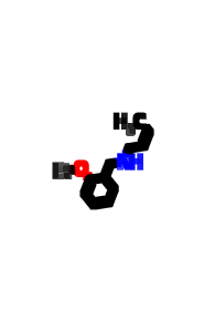 C/C=C\CNCC1CC=CC=C1OCC